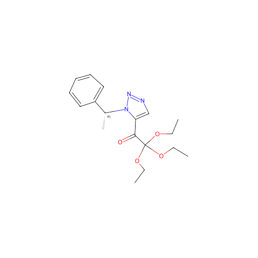 CCOC(OCC)(OCC)C(=O)c1cnnn1[C@H](C)c1ccccc1